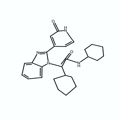 O=C(NC1CCCCC1)C(C1CCCCC1)n1c(-c2cc[nH]c(=O)c2)nc2ccccc21